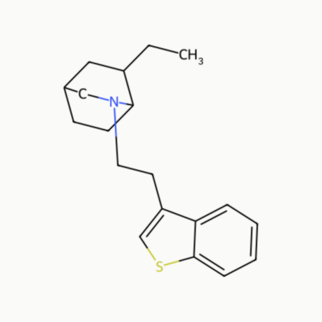 CCC1CC2CCC1N(CCc1csc3ccccc13)C2